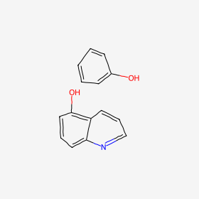 Oc1cccc2ncccc12.Oc1ccccc1